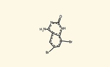 Nc1nc(=O)[nH]c2c(Br)cc(Br)cc12